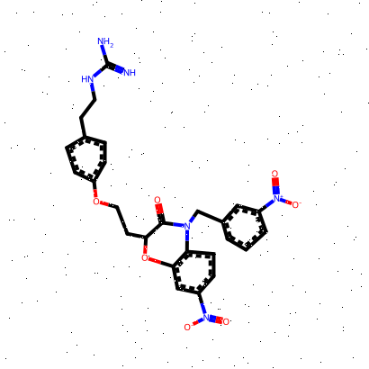 N=C(N)NCCc1ccc(OCCC2Oc3cc([N+](=O)[O-])ccc3N(Cc3cccc([N+](=O)[O-])c3)C2=O)cc1